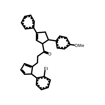 CCc1ccccc1C1C=CC=C1CCC(=O)C1C=C(c2ccccc2)CC1c1ccc(OC)cc1